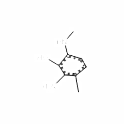 CNc1ccc(C)c(N)c1O